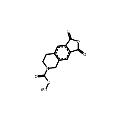 CC(C)(C)OC(=O)N1CCc2cc3c(cc2C1)C(=O)OC3=O